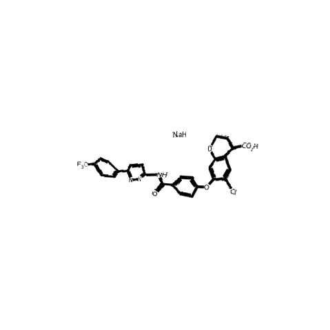 O=C(Nc1ccc(-c2ccc(C(F)(F)F)cc2)nn1)c1ccc(Oc2cc3c(cc2Cl)C(C(=O)O)CCO3)cc1.[NaH]